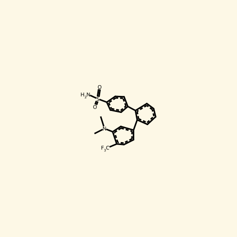 CN(C)c1cc(-c2ccccc2-c2ccc(S(N)(=O)=O)cc2)ccc1C(F)(F)F